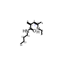 C=C(/C=C(/C)NCC)C(=O)NCCCC